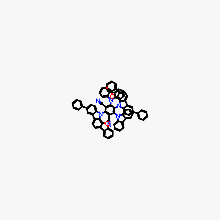 N#Cc1c(-n2c3ccccc3c3ccccc32)c(-n2c3ccc(-c4ccccc4)cc3c3ccc4c5ccccc5oc4c32)c(-n2c3ccccc3c3ccccc32)c(C#N)c1-n1c2ccc(-c3ccccc3)cc2c2ccc3c4ccccc4oc3c21